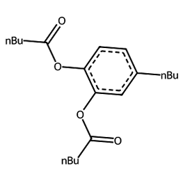 CCCCC(=O)Oc1ccc(CCCC)cc1OC(=O)CCCC